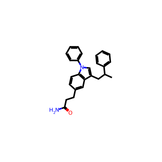 CC(Cc1cn(-c2ccccc2)c2ccc(CCC(N)=O)cc12)c1ccccc1